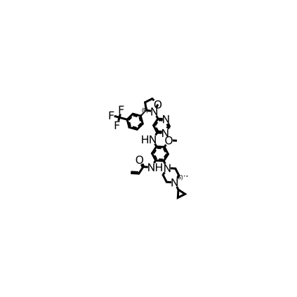 C=CC(=O)Nc1cc(Nc2cc(N3OCC[C@@H]3c3cccc(C(F)(F)F)c3)ncn2)c(OC)cc1N1CCN(C2CC2)[C@@H](C)C1